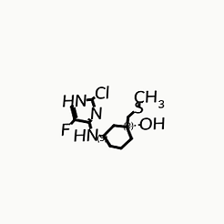 CSC[C@@]1(O)CCC[C@H](NC2=NC(Cl)NC=C2F)C1